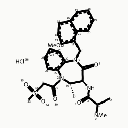 CNC(C)C(=O)N[C@@H]1C(=O)N(Cc2c(OC)ccc3ccccc23)c2ccccc2N(C(=O)CS(C)(=O)=O)[C@H]1C.Cl